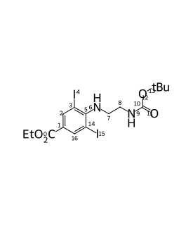 CCOC(=O)c1cc(I)c(NCCNC(=O)OC(C)(C)C)c(I)c1